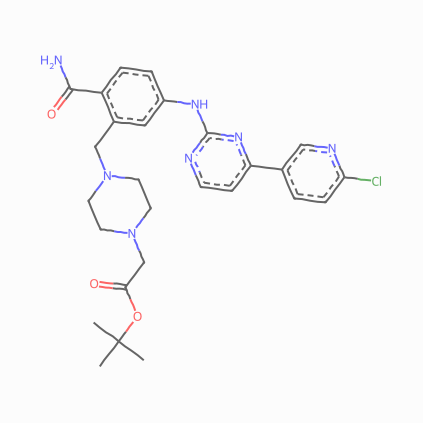 CC(C)(C)OC(=O)CN1CCN(Cc2cc(Nc3nccc(-c4ccc(Cl)nc4)n3)ccc2C(N)=O)CC1